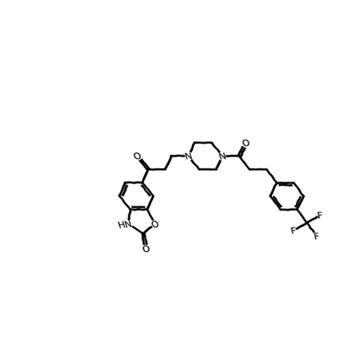 O=C(CCN1CCN(C(=O)CCc2ccc(C(F)(F)F)cc2)CC1)c1ccc2[nH]c(=O)oc2c1